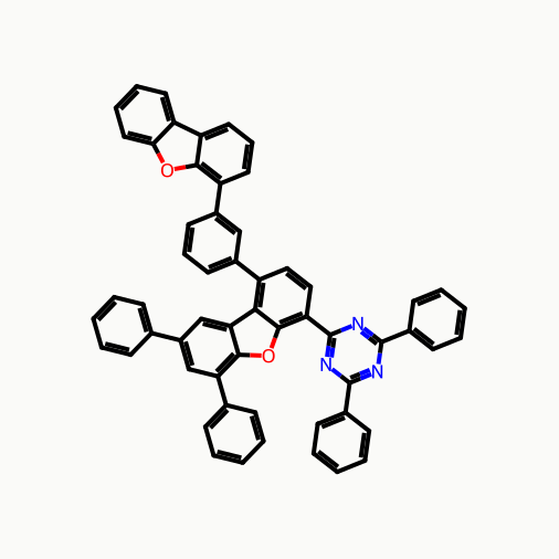 c1ccc(-c2cc(-c3ccccc3)c3oc4c(-c5nc(-c6ccccc6)nc(-c6ccccc6)n5)ccc(-c5cccc(-c6cccc7c6oc6ccccc67)c5)c4c3c2)cc1